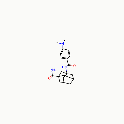 CN(C)c1ccc(C(=O)NC23CC4CC(C2)CC(C(N)=O)(C4)C3)cc1